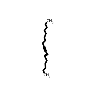 [CH2]CCCCCCCC#C/C=C/CCCCC